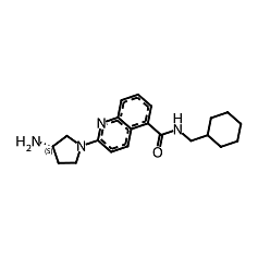 N[C@H]1CCN(c2ccc3c(C(=O)NCC4CCCCC4)cccc3n2)C1